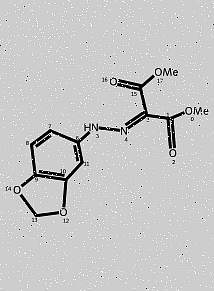 COC(=O)C(=NNc1ccc2c(c1)OCO2)C(=O)OC